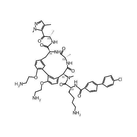 Cc1cnn(C)c1C(=O)[C@H](C)NC(=O)[C@@H]1Cc2ccc(OCCN)c(c2)-c2cc(ccc2OCCN)[C@H](N(C)C(=O)[C@H](CCCCN)NC(=O)c2ccc(-c3ccc(Cl)cc3)cc2)C(=O)N[C@@H](C)C(=O)N1